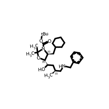 C[C@H](CNCc1ccccc1)CC(O)[C@@H]1OC(C)(C)N(C(=O)OC(C)(C)C)[C@H]1CC1CCCCC1